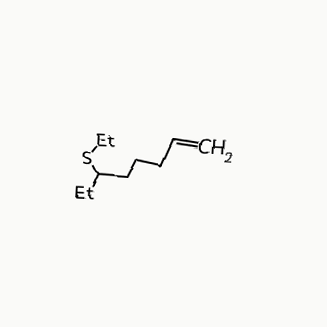 [CH2]CC(CCCC=C)SCC